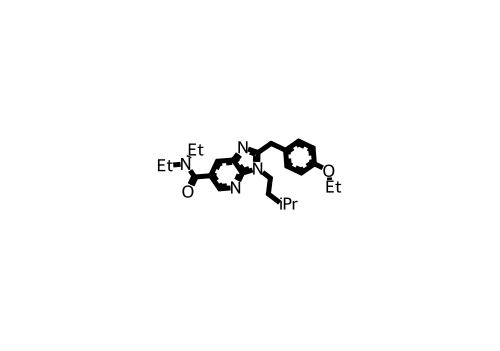 CCOc1ccc(Cc2nc3cc(C(=O)N(CC)CC)cnc3n2CCC(C)C)cc1